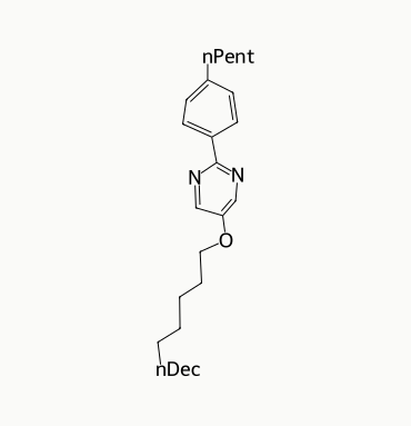 CCCCCCCCCCCCCCCOc1cnc(-c2ccc(CCCCC)cc2)nc1